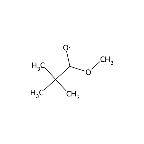 COC([O])C(C)(C)C